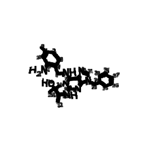 Cc1ccc(CNc2nc(NC(C)C(C)(C)O)nc3c2ncn3Cc2ccccc2)c(N)c1